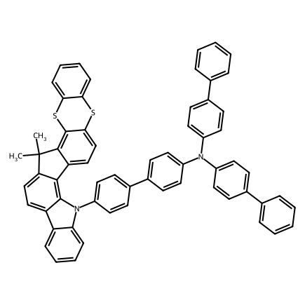 CC1(C)c2ccc3c4ccccc4n(-c4ccc(-c5ccc(N(c6ccc(-c7ccccc7)cc6)c6ccc(-c7ccccc7)cc6)cc5)cc4)c3c2-c2ccc3c(c21)Sc1ccccc1S3